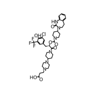 O=C(O)CCN1CCN(C2CCN(C(=O)[C@@H](Cc3cc(Cl)c(O)c(C(F)(F)F)c3)OC(=O)N3CCC(N4CCc5ccccc5NC4=O)CC3)CC2)CC1